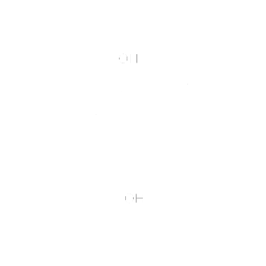 CCCc1c(O)cc(C(C)C)c(O)c1C(C)(C)C